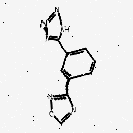 [c]1nc(-c2cccc(-c3nnn[nH]3)c2)no1